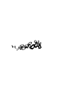 NC(=O)O[C@@H]1CN(c2ccc3cc(-c4ccccc4C(F)(F)F)[nH]c(=O)c3c2)C(=O)O1